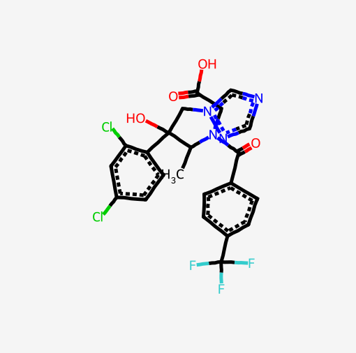 CC(N(CC(=O)O)C(=O)c1ccc(C(F)(F)F)cc1)C(O)(Cn1cncn1)c1ccc(Cl)cc1Cl